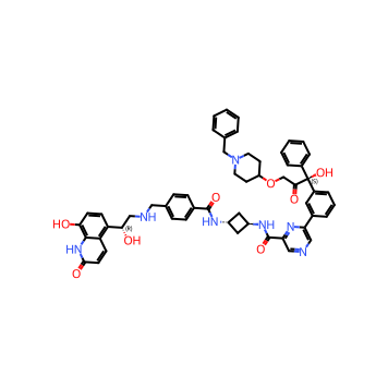 O=C(N[C@H]1C[C@H](NC(=O)c2cncc(-c3cccc([C@](O)(C(=O)COC4CCN(Cc5ccccc5)CC4)c4ccccc4)c3)n2)C1)c1ccc(CNC[C@H](O)c2ccc(O)c3[nH]c(=O)ccc23)cc1